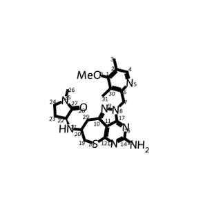 COc1c(C)cnc(Cn2nc3c4c(nc(N)nc42)SCC(N[C@H]2CCN(C)C2=O)C3)c1C